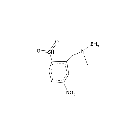 BN(C)Cc1cc([N+](=O)[O-])ccc1[SH](=O)=O